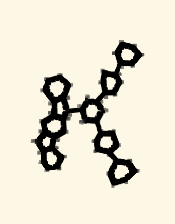 c1ccc(-c2ccc(-c3nc(-c4ccc(-c5ccccc5)cc4)nc(-n4c5ccccc5c5cc6sc7ccccc7c6cc54)n3)cc2)cc1